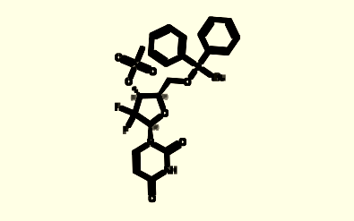 CC(C)(C)[Si](OC[C@H]1O[C@@H](n2ccc(=O)[nH]c2=O)C(F)(F)[C@@H]1OS(C)(=O)=O)(c1ccccc1)c1ccccc1